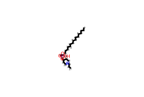 CCCCCCCCCCCCCCCCOP(=O)(O)OC1CCN(CCC)CC1